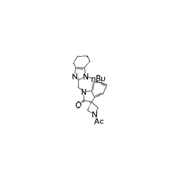 CCCCn1c(CN2C(=O)C3(CN(C(C)=O)C3)c3ccccc32)nc2c1CCCC2